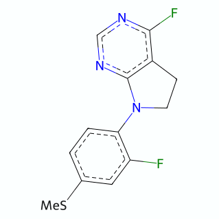 CSc1ccc(N2CCc3c(F)ncnc32)c(F)c1